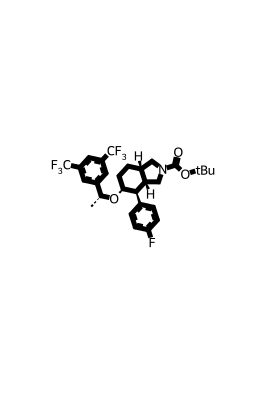 C[C@@H](O[C@@H]1CC[C@@H]2CN(C(=O)OC(C)(C)C)C[C@@H]2[C@H]1c1ccc(F)cc1)c1cc(C(F)(F)F)cc(C(F)(F)F)c1